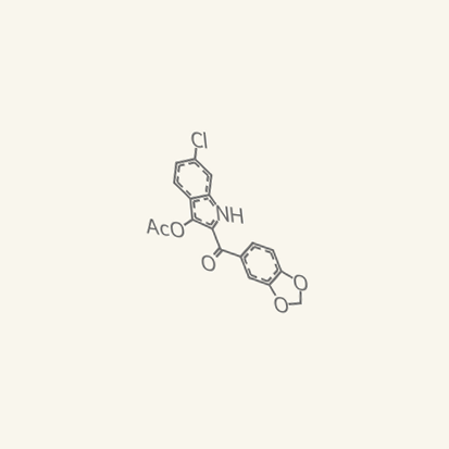 CC(=O)Oc1c(C(=O)c2ccc3c(c2)OCO3)[nH]c2cc(Cl)ccc12